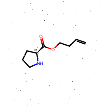 C=CCCOC(=O)[C@@H]1CCCN1